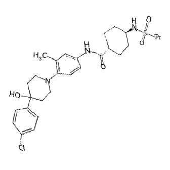 Cc1cc(NC(=O)[C@H]2CC[C@H](NS(=O)(=O)C(C)C)CC2)ccc1N1CCC(O)(c2ccc(Cl)cc2)CC1